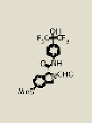 CSc1ccc2c(c1)CN(C=O)[C@H]2C(=O)Nc1ccc(C(O)(C(F)(F)F)C(F)(F)F)cc1